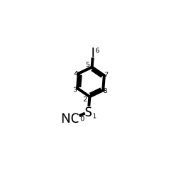 N#CSc1ccc(I)cc1